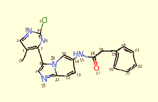 Cc1cnc(Cl)nc1-c1cnc2ccc(NC(=O)Cc3ccccc3)cn12